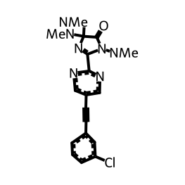 CNN1C(=O)C(NC)(NC)N=C1c1ncc(C#Cc2cccc(Cl)c2)cn1